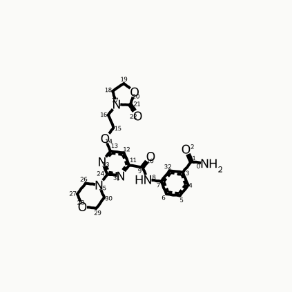 NC(=O)c1cccc(NC(=O)c2cc(OCCN3CCOC3=O)nc(N3CCOCC3)n2)c1